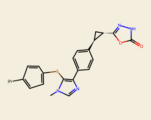 CC(C)c1ccc(Sc2c(-c3ccc([C@H]4C[C@@H]4c4n[nH]c(=O)o4)cc3)ncn2C)cc1